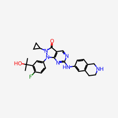 CC(C)(O)c1cc(-n2c3nc(Nc4ccc5c(c4)CCNC5)ncc3c(=O)n2C2CC2)ccc1F